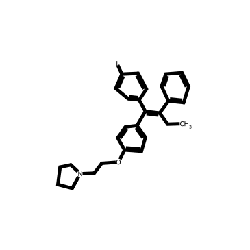 CC/C(=C(/c1ccc(I)cc1)c1ccc(OCCN2CCCC2)cc1)c1ccccc1